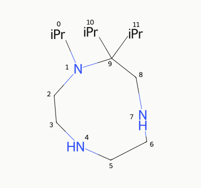 CC(C)N1CCNCCNCC1(C(C)C)C(C)C